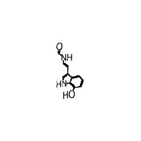 O=CNC=Cc1c[nH]c2c(O)cccc12